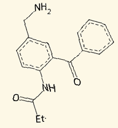 C[CH]C(=O)Nc1ccc(CN)cc1C(=O)c1ccccc1